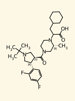 C[C@@H]1CN(C(=O)[C@@H]2CN(C(C)(C)C)C[C@H]2c2ccc(F)cc2F)CCN1C(CC1CCCCC1)C(=O)O